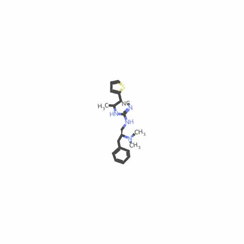 CC(Cc1cccs1)N/C(=N\C#N)NC[C@H](Cc1ccccc1)N(C)C